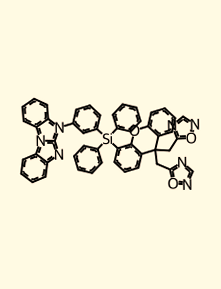 c1ccc([Si](c2ccccc2)(c2cccc(-n3c4ccccc4n4c5ccccc5nc34)c2)c2cccc3c2Oc2ccccc2C3(Cc2ncno2)Cc2ncno2)cc1